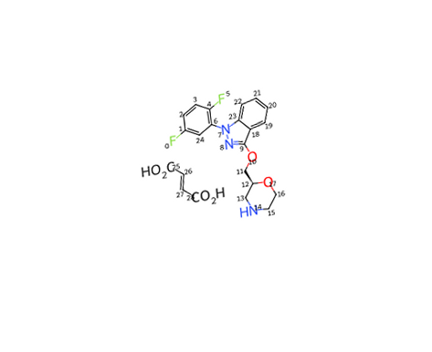 Fc1ccc(F)c(-n2nc(OC[C@@H]3CNCCO3)c3ccccc32)c1.O=C(O)C=CC(=O)O